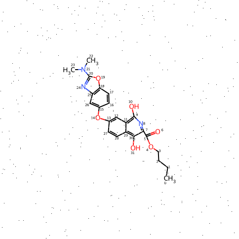 CCCCOC(=O)c1nc(O)c2cc(Oc3ccc4oc(N(C)C)nc4c3)ccc2c1O